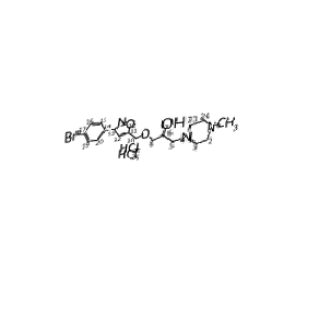 CN1CCN(CC(O)COCc2cc(-c3ccc(Br)cc3)no2)CC1.Cl.Cl